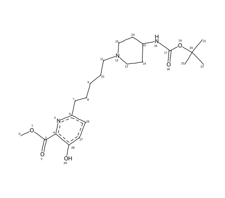 COC(=O)c1nc(CCCCCN2CCC(NC(=O)OC(C)(C)C)CC2)ccc1O